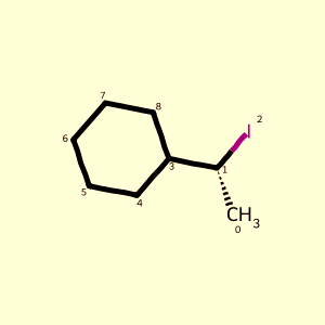 C[C@@H](I)C1CCCCC1